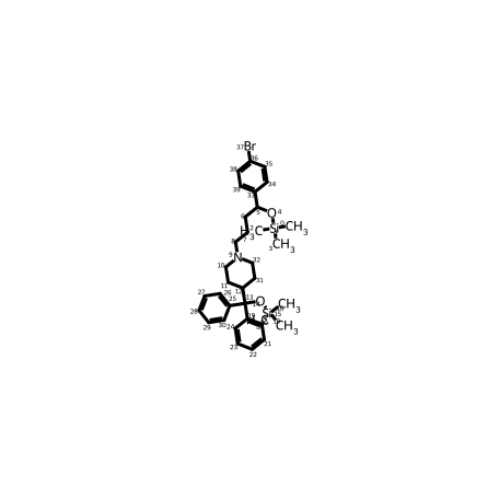 C[Si](C)(C)OC(CCCN1CCC(C(O[Si](C)(C)C)(c2ccccc2)c2ccccc2)CC1)c1ccc(Br)cc1